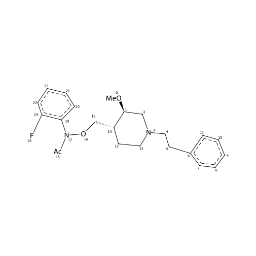 CO[C@H]1CN(CCc2ccccc2)CC[C@@H]1CON(C(C)=O)c1ccccc1F